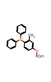 CCCCCCCCOc1ccc([S+](c2ccccc2)c2ccccc2)c(C)c1